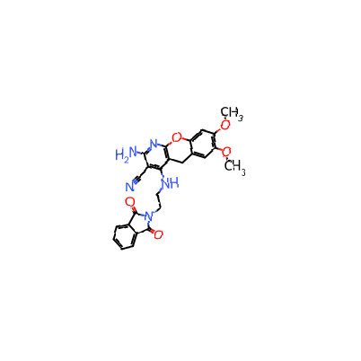 COc1cc2c(cc1OC)Oc1nc(N)c(C#N)c(NCCN3C(=O)c4ccccc4C3=O)c1C2